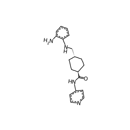 Nc1ccccc1NC[C@H]1CC[C@H](C(=O)Nc2ccncc2)CC1